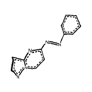 c1ccc(N=Nc2ccn3nccc3n2)cc1